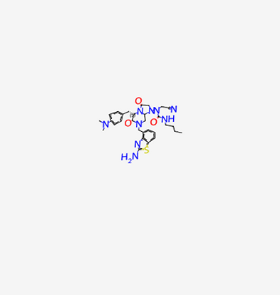 CCCCNC(=O)N(CC#N)N1CC(=O)N2C1CN(Cc1cccc3sc(N)nc13)C(=O)[C@@H]2Cc1ccc(N(C)C)cc1